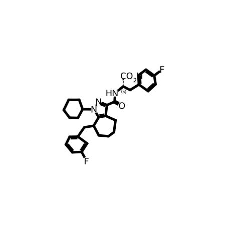 O=C(N[C@@H](Cc1ccc(F)cc1)C(=O)O)c1nn(C2CCCCC2)c2c1CCCCC2Cc1cccc(F)c1